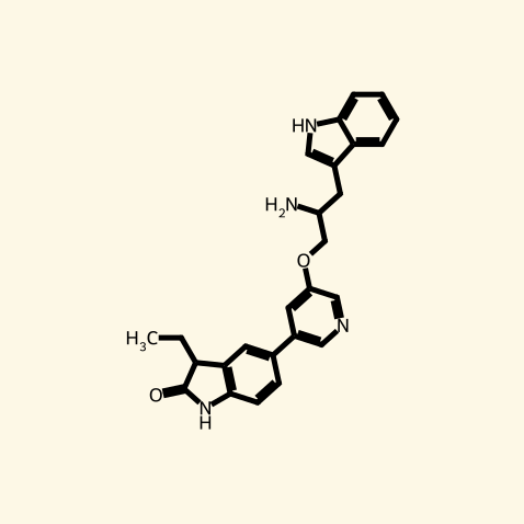 CCC1C(=O)Nc2ccc(-c3cncc(OCC(N)Cc4c[nH]c5ccccc45)c3)cc21